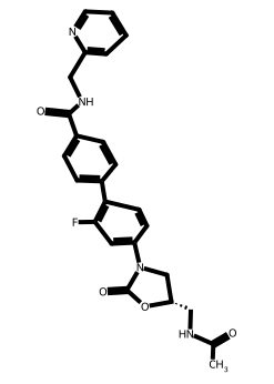 CC(=O)NC[C@H]1CN(c2ccc(-c3ccc(C(=O)NCc4ccccn4)cc3)c(F)c2)C(=O)O1